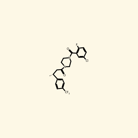 C[C@H](CC(=O)N1CCN(C(=O)c2cc(Cl)ccc2F)CC1)c1ccc(C(F)(F)F)cc1